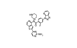 Nc1nccc(-c2cc3c(N(C(=O)c4ccc(-n5nnc6cccnc65)cc4F)[C@@H]4CCCNC4)nccc3s2)n1